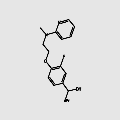 C[CH]CC(O)c1ccc(OCCN(C)c2ccccn2)c(F)c1